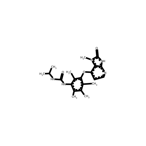 Cc1c(C)c(NC(=O)NC(C)C)c(C)c(Oc2ccnc3[nH]c(=O)n(C)c23)c1C